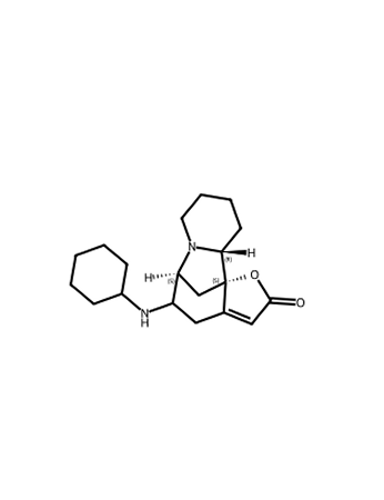 O=C1C=C2CC(NC3CCCCC3)[C@@H]3C[C@@]2(O1)[C@H]1CCCCN31